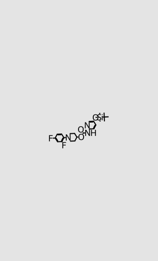 CC(C)(C)[Si](C)(C)Oc1ccc(NC(=O)OC2CCN(c3ccc(F)cc3F)CC2)nc1